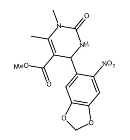 COC(=O)C1=C(C)N(C)C(=O)NC1c1cc2c(cc1[N+](=O)[O-])OCO2